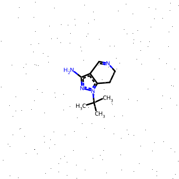 CC(C)(C)n1nc(N)c2c1CCN=C2